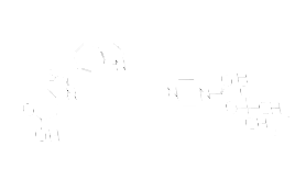 CC(C)(C)OC(=O)N1CCN(CCCn2ccc3ccc(-c4nc(CC(=O)O)cs4)cc32)CC1